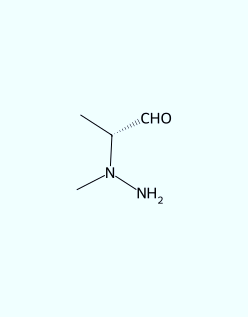 C[C@H](C=O)N(C)N